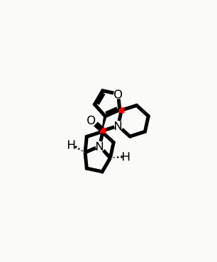 O=C(N1CCCCC1)N1[C@@H]2CC[C@H]1C[C@@H](c1ccoc1)C2